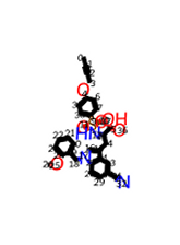 CC#CCOc1ccc(S(=O)(=O)NC(Cc2cn(Cc3ccccc3OC)c3ccc(C#N)cc23)C(=O)O)cc1